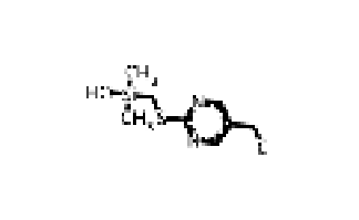 C[Si](C)(O)CSc1ncc(CCl)cn1